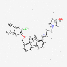 Cc1cc(Cl)c(OCc2cccc(-c3cccc(/C=C/CCN4CC[C@H](O)C4)c3C)c2C)cc1C